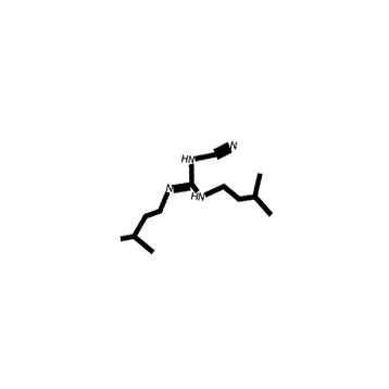 CC(C)CC/N=C(/NC#N)NCCC(C)C